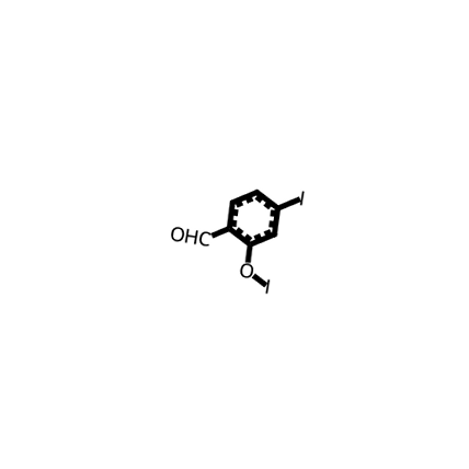 O=Cc1ccc(I)cc1OI